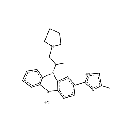 Cc1c[nH]c(-c2ccc3c(c2)N(C(C)CN2CCCC2)c2ccccc2S3)n1.Cl